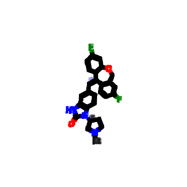 CCN1CC[C@@H](n2c(=O)[nH]c3cc(/C=C4\c5ccc(F)cc5COC5C=C(F)C=CC45)ccc32)C1